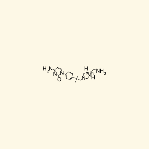 CC(C)(CN1C[C@@H]2[C@@H](CN)[C@@H]2C1)c1ccc(-n2ccc(N)nc2=O)cc1